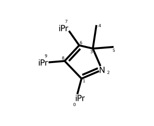 CC(C)C1=NC(C)(C)C(C(C)C)=C1C(C)C